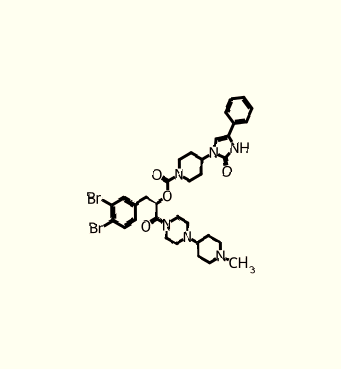 CN1CCC(N2CCN(C(=O)[C@@H](Cc3ccc(Br)c(Br)c3)OC(=O)N3CCC(n4cc(-c5ccccc5)[nH]c4=O)CC3)CC2)CC1